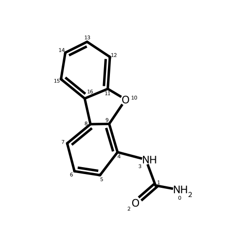 NC(=O)Nc1cccc2c1oc1ccccc12